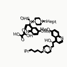 CCCCCCCN1CCN(N(C=O)c2ccnc3ccc(OC)cc23)CC1.COc1ccc2nccc([C@@H](O)CN3CCN(CCCCC(C)C)CC3)c2c1.O=C(O)C(=O)O